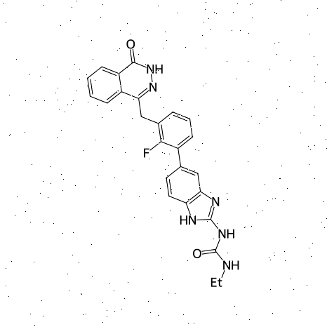 CCNC(=O)Nc1nc2cc(-c3cccc(Cc4n[nH]c(=O)c5ccccc45)c3F)ccc2[nH]1